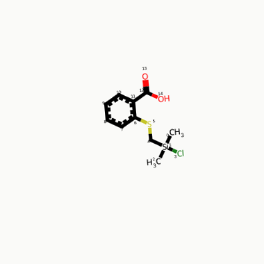 C[Si](C)(Cl)CSc1ccccc1C(=O)O